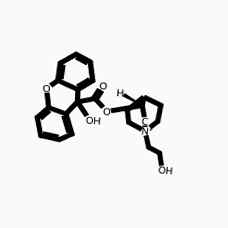 O=C(O[C@H]1C[N+]2(CCO)CCC1CC2)C1(O)c2ccccc2Oc2ccccc21